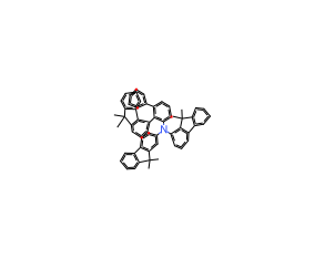 CC1(C)c2ccccc2-c2ccc(N(c3cccc(-c4ccccc4)c3-c3cccc4c3-c3ccccc3C4(C)C)c3cccc4c3C(C)(C)c3ccccc3-4)cc21